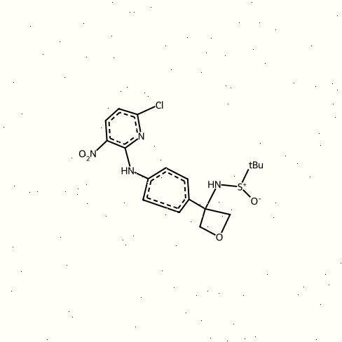 CC(C)(C)[S+]([O-])NC1(c2ccc(Nc3nc(Cl)ccc3[N+](=O)[O-])cc2)COC1